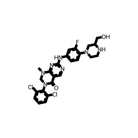 CN1CN(c2c(Cl)cccc2Cl)C(=O)c2cnc(Nc3ccc(N4CCNC(CO)C4)c(F)c3)nc21